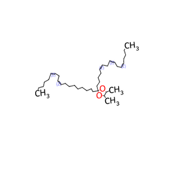 CCCC/C=C\C/C=C\C/C=C\CCCCC1(CCCCCCCC/C=C\C/C=C\CCCCC)OC(C)C(C)O1